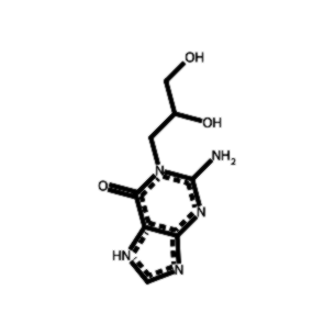 Nc1nc2nc[nH]c2c(=O)n1CC(O)CO